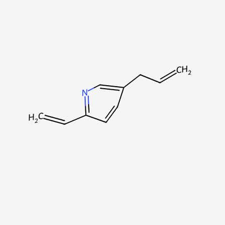 C=CCc1ccc(C=C)nc1